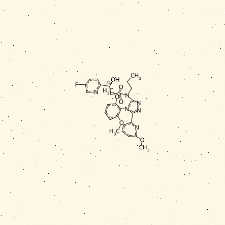 CCCN(c1nnc(-c2cccc(OC)n2)n1-c1c(OC)cccc1OC)S(=O)(=O)C[C@H](O)c1ccc(F)cn1